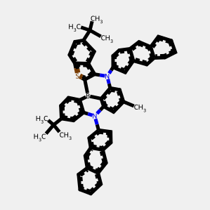 Cc1cc2c3c(c1)N(c1ccc4cc5ccccc5cc4c1)c1c(sc4ccc(C(C)(C)C)cc14)B3c1ccc(C(C)(C)C)cc1N2c1ccc2cc3ccccc3cc2c1